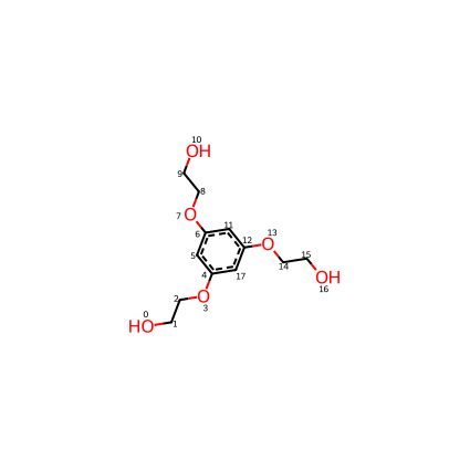 OCCOc1cc(OCCO)cc(OCCO)c1